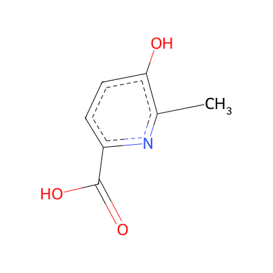 Cc1nc(C(=O)O)ccc1O